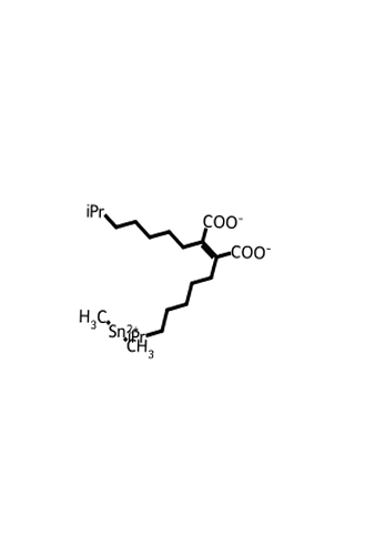 CC(C)CCCCC/C(C(=O)[O-])=C(\CCCCCC(C)C)C(=O)[O-].[CH3][Sn+2][CH3]